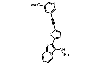 COc1cncc(C#Cc2ccc(-c3nc4cnccn4c3NC(C)(C)C)s2)c1